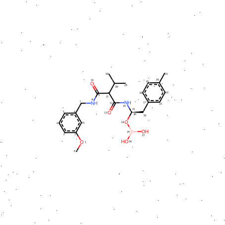 COc1cccc(CNC(=O)C(C(=O)N[C@@H](Cc2ccc(C)cc2)OB(O)O)C(C)C)c1